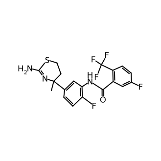 CC1(c2ccc(F)c(NC(=O)c3cc(F)ccc3C(F)(F)F)c2)CCSC(N)=N1